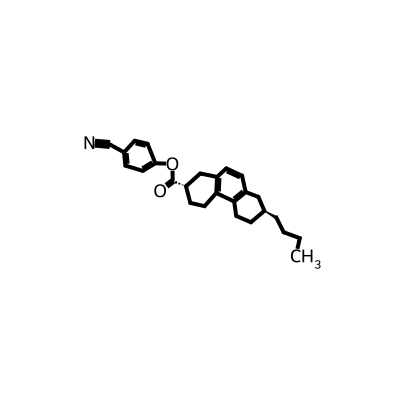 CCCC[C@H]1CCc2c(ccc3c2CC[C@H](C(=O)Oc2ccc(C#N)cc2)C3)C1